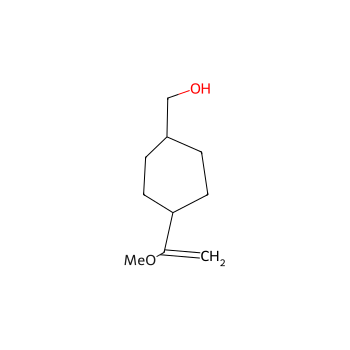 C=C(OC)C1CCC(CO)CC1